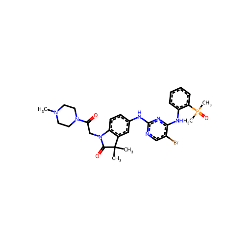 CN1CCN(C(=O)CN2C(=O)C(C)(C)c3cc(Nc4ncc(Br)c(Nc5ccccc5P(C)(C)=O)n4)ccc32)CC1